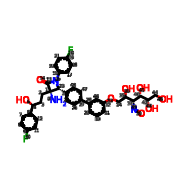 N[C@]1(CC[C@H](O)c2ccc(F)cc2)C(=O)N(c2ccc(F)cc2)[C@@H]1c1ccc(-c2cccc(OC[C@@H](O)[C@@H](N=O)[C@H](O)[C@@H](O)CO)c2)cc1